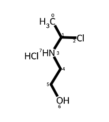 CC(Cl)NCCO.Cl